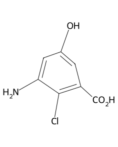 Nc1cc(O)cc(C(=O)O)c1Cl